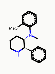 COc1ccccc1N(C)[C@H]1CCCN[C@H]1c1ccccc1